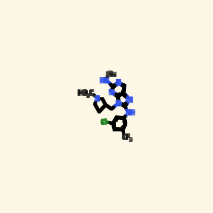 CC(C)(C)Nc1ncc2nc(Nc3cc(Cl)cc(C(F)(F)F)c3)n(CC3CCN(C(=O)O)C3)c2n1